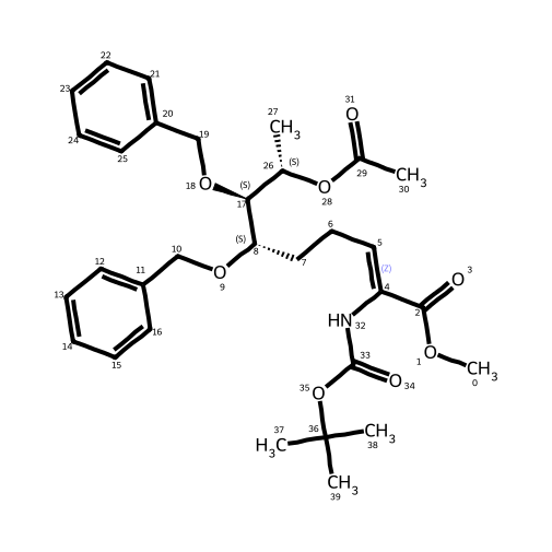 COC(=O)/C(=C/CC[C@H](OCc1ccccc1)[C@@H](OCc1ccccc1)[C@H](C)OC(C)=O)NC(=O)OC(C)(C)C